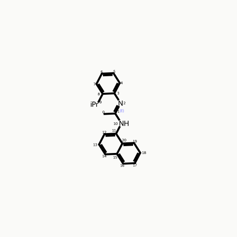 C/C(=N\c1ccccc1C(C)C)Nc1cccc2ccccc12